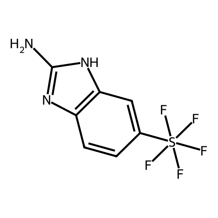 Nc1nc2ccc(S(F)(F)(F)(F)F)cc2[nH]1